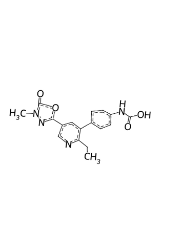 CCc1ncc(-c2nn(C)c(=O)o2)cc1-c1ccc(NC(=O)O)cc1